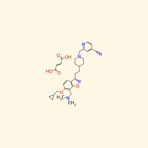 CN(C)Cc1c(OCC2CC2)ccc2c(CCC3CCN(Cc4cc(C#N)ccn4)CC3)noc12.O=C(O)/C=C/C(=O)O